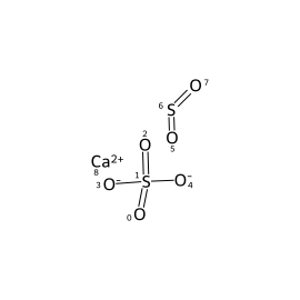 O=S(=O)([O-])[O-].O=S=O.[Ca+2]